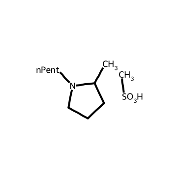 CCCCCN1CCCC1C.CS(=O)(=O)O